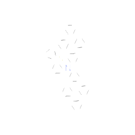 c1ccc(-c2ccccc2-c2ccccc2-c2ccc(N(c3ccc(-c4ccccc4-c4ccccc4-c4ccccc4)cc3)c3cccc4c3sc3ccccc34)cc2)cc1